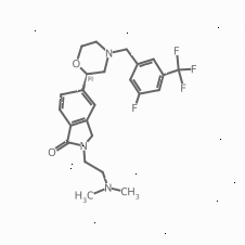 CN(C)CCN1Cc2cc([C@@H]3CN(Cc4cc(F)cc(C(F)(F)F)c4)CCO3)ccc2C1=O